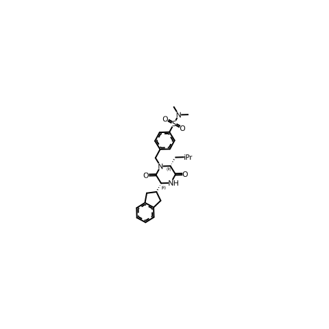 CC(C)C[C@@H]1C(=O)N[C@H](C2Cc3ccccc3C2)C(=O)N1Cc1ccc(S(=O)(=O)N(C)C)cc1